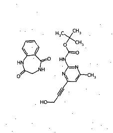 Cc1cc(C#CCO)nc(NC(=O)OC(C)(C)C)n1.O=C1CNC(=O)c2ccccc2N1